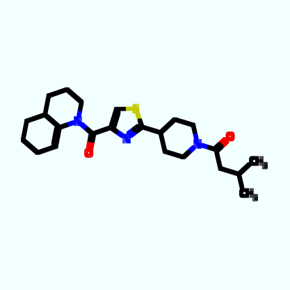 CC(C)CC(=O)N1CCC(c2nc(C(=O)N3CCCC4CCCC=C43)cs2)CC1